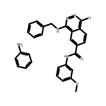 COc1cccc(NC(=O)c2ccc3c(Cl)nnc(NCc4ccccc4)c3c2)c1.Nc1ccccc1